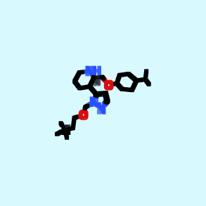 CC(C)C1CCC(OC[C@@H]2NCCCC2c2ccnn2COCC[Si](C)(C)C)CC1